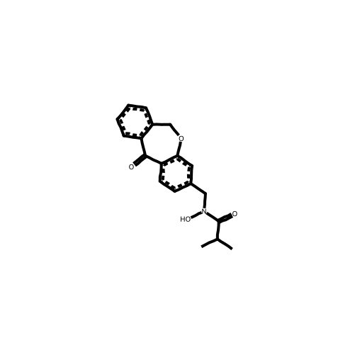 CC(C)C(=O)N(O)Cc1ccc2c(c1)OCc1ccccc1C2=O